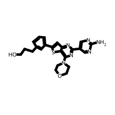 Nc1ncc(-c2nc(N3CCOCC3)c3sc(-c4cccc(CCCO)c4)cc3n2)cn1